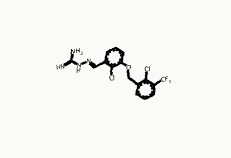 N=C(N)NN=Cc1cccc(OCc2cccc(C(F)(F)F)c2Cl)c1Cl